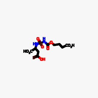 O=C(O)CCCOC(=O)NS(=O)(=O)NC(CC(O)=S)C(=O)O